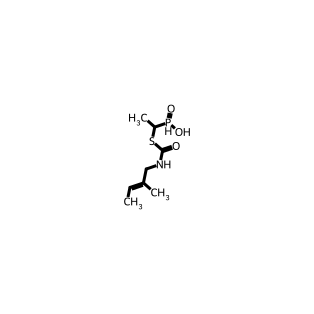 C/C=C(\C)CNC(=O)SC(C)[PH](=O)O